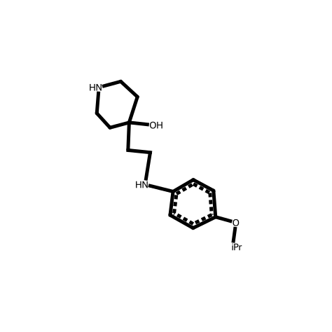 CC(C)Oc1ccc(NCCC2(O)CCNCC2)cc1